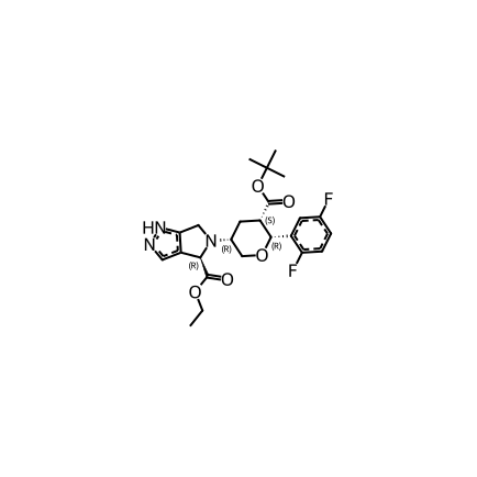 CCOC(=O)[C@H]1c2cn[nH]c2CN1[C@H]1CO[C@@H](c2cc(F)ccc2F)[C@@H](C(=O)OC(C)(C)C)C1